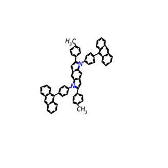 Cc1ccc(-c2cc3cc4c(cc(-c5ccc(C)cc5)n4-c4ccc(-c5c6ccccc6cc6ccccc56)cc4)cc3n2-c2ccc(-c3c4ccccc4cc4ccccc34)cc2)cc1